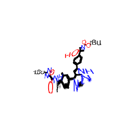 Cc1cc(-c2ncnc3[nH]c(-c4ccc(C5(O)CN(C(=O)OC(C)(C)C)C5)cc4)cc23)ccc1[C@@H](C)NC(=O)c1nc(C(C)(C)C)no1